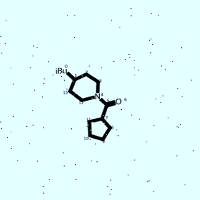 CCC(C)C1CCN(C(=O)C2CCCC2)CC1